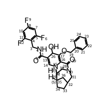 O=C(NCc1c(F)cc(F)cc1F)C1=CN2C(=C(OCc3ccccc3)C1O)C(=O)N1CC3CC[C@@H](C3)[C@@H]2C1